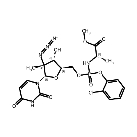 COC(=O)[C@H](C)NP(=O)(OC[C@H]1O[C@H](n2ccc(=O)[nH]c2=O)[C@](C)(N=[N+]=[N-])[C@@H]1O)Oc1ccccc1Cl